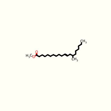 CCCCCCC(C)CC=CCCCCCCCCCC(=O)OC